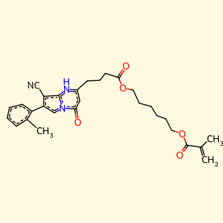 C=C(C)C(=O)OCCCCCCOC(=O)CCCc1cc(=O)n2cc(-c3ccccc3C)c(C#N)c2[nH]1